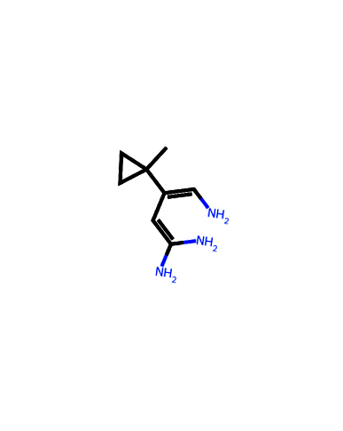 CC1(/C(C=C(N)N)=C/N)CC1